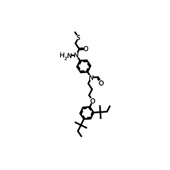 CCC(C)(C)c1ccc(OCCCN(C=O)c2ccc(N(N)C(=O)CSC)cc2)c(C(C)(C)CC)c1